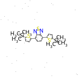 C[Si](C)(C)c1ccc(-c2ccc(-c3ccc([Si](C)(C)C)s3)c3nsnc23)s1